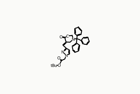 CC(C)(C)OC(=O)Cn1ccc(/C=C2\CN(C(c3ccccc3)(c3ccccc3)c3ccccc3)CCC2=O)n1